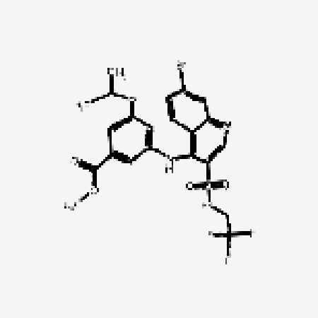 COC(=O)c1cc(Nc2c(S(=O)(=O)NCC(F)(F)F)cnc3cc(Br)ccc23)cc(OC(C)C)c1